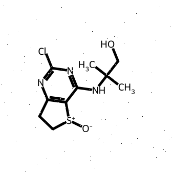 CC(C)(CO)Nc1nc(Cl)nc2c1[S+]([O-])CC2